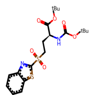 CC(C)(C)OC(=O)N[C@@H](CCS(=O)(=O)c1nc2ccccc2s1)C(=O)OC(C)(C)C